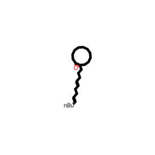 CCCCC=CCCC=CCCCC12CCCCCCCCCCC1O2